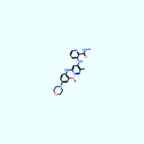 CNC(=O)c1ncccc1Nc1cc(Nc2ccc(N3CCOCC3)cc2OC)ncc1C